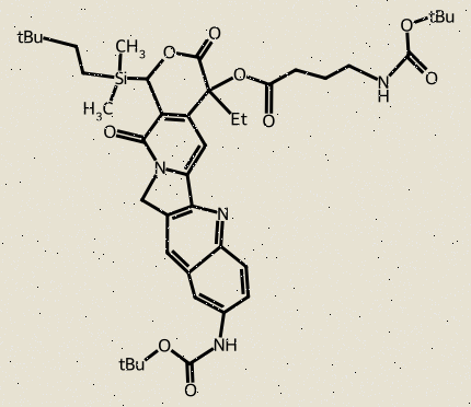 CCC1(OC(=O)CCCNC(=O)OC(C)(C)C)C(=O)OC([Si](C)(C)CCC(C)(C)C)c2c1cc1n(c2=O)Cc2cc3cc(NC(=O)OC(C)(C)C)ccc3nc2-1